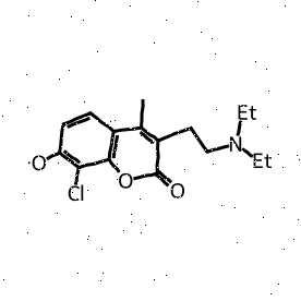 CCN(CC)CCc1c(C)c2ccc([O])c(Cl)c2oc1=O